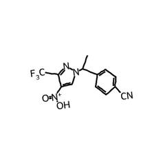 CC(c1ccc(C#N)cc1)n1cc([N+](=O)O)c(C(F)(F)F)n1